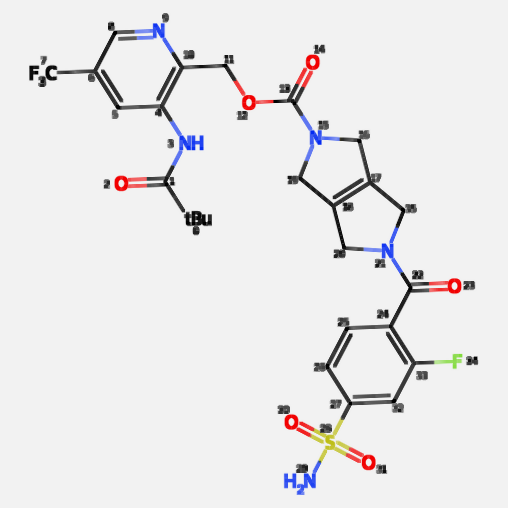 CC(C)(C)C(=O)Nc1cc(C(F)(F)F)cnc1COC(=O)N1CC2=C(C1)CN(C(=O)c1ccc(S(N)(=O)=O)cc1F)C2